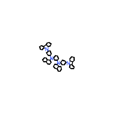 C1=CC2c3ccccc3N(c3ccc(N(c4cccc(N(c5ccc(-n6c7ccccc7c7ccccc76)cc5)c5cccc6ccccc56)c4)c4cccc5ccccc45)cc3)C2C=C1